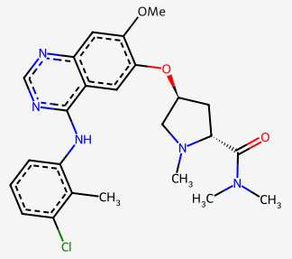 COc1cc2ncnc(Nc3cccc(Cl)c3C)c2cc1O[C@H]1C[C@H](C(=O)N(C)C)N(C)C1